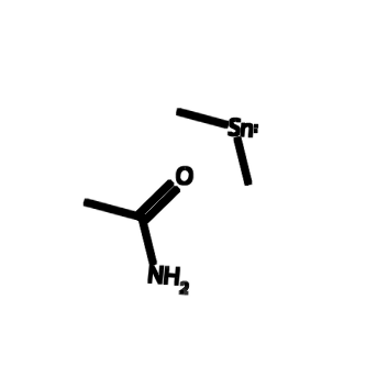 CC(N)=O.[CH3][Sn][CH3]